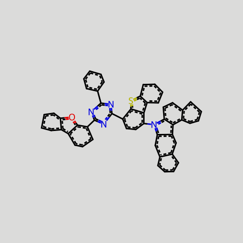 c1ccc(-c2nc(-c3cccc4c3oc3ccccc34)nc(-c3ccc(-n4c5cc6ccccc6cc5c5c6ccccc6ccc54)c4c3sc3ccccc34)n2)cc1